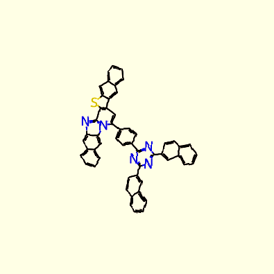 c1ccc2cc(-c3nc(-c4ccc(-c5cc6c7cc8ccccc8cc7sc6c6nc7cc8ccccc8cc7n56)cc4)nc(-c4ccc5ccccc5c4)n3)ccc2c1